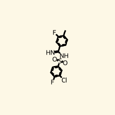 Cc1ccc(C(=N)NS(=O)(=O)c2ccc(F)c(Cl)c2)cc1F